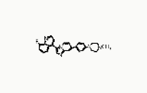 CN1CCN(c2ccc(-c3ccn4c(-c5ccnc6c(F)cccc56)cnc4c3)cc2)CC1